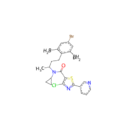 Bc1cc(Br)cc(B)c1CCC(C)N(C(=O)c1sc(-c2cccnc2)nc1Cl)C1CC1